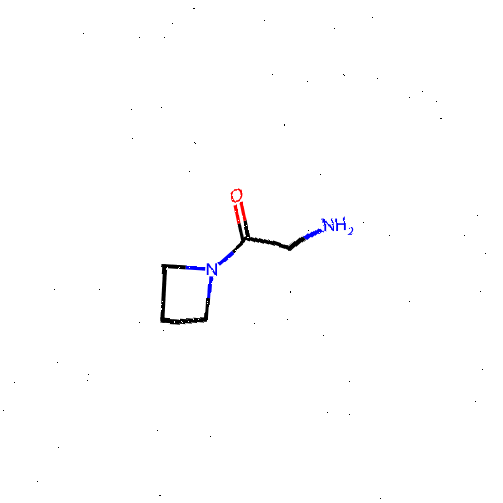 NCC(=O)N1CCC1